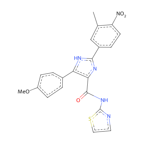 COc1ccc(-c2[nH]c(-c3ccc([N+](=O)[O-])c(C)c3)nc2C(=O)Nc2nccs2)cc1